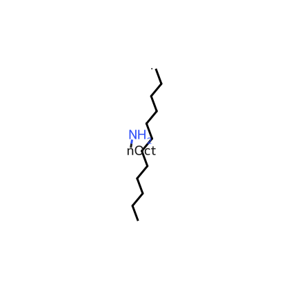 CCCCCCCCN.[CH2]CCCCCCCCCCC